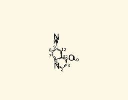 COc1ccnc2ccc(C#N)cc12